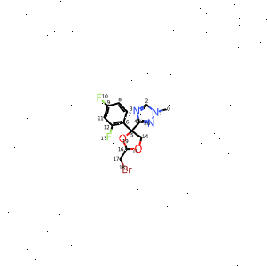 Cn1cnc(C2(c3ccc(F)cc3F)COC(CBr)O2)n1